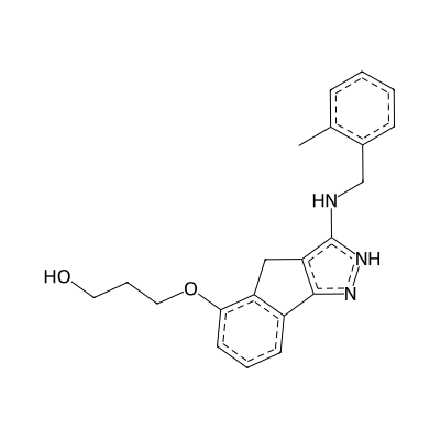 Cc1ccccc1CNc1[nH]nc2c1Cc1c(OCCCO)cccc1-2